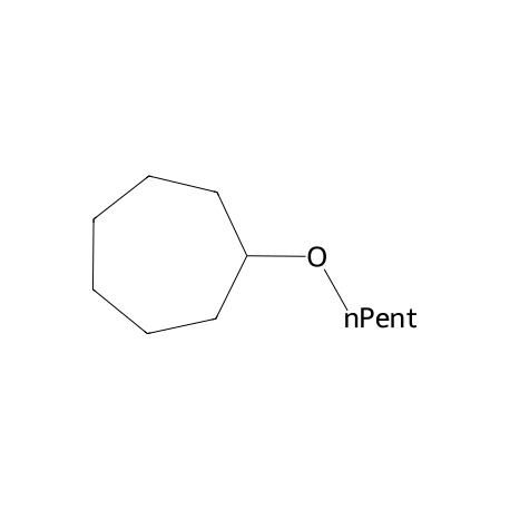 CCCCCOC1CCCCCC1